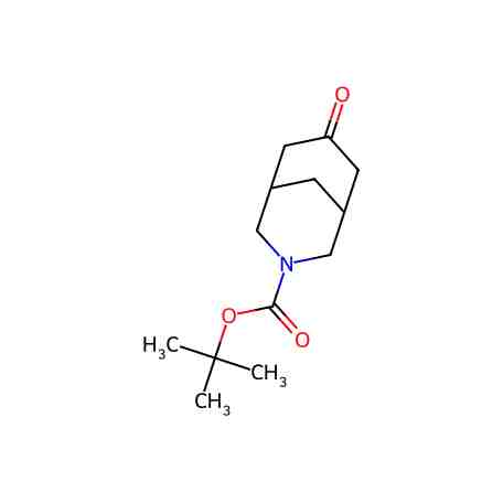 CC(C)(C)OC(=O)N1CC2CC(=O)CC(C2)C1